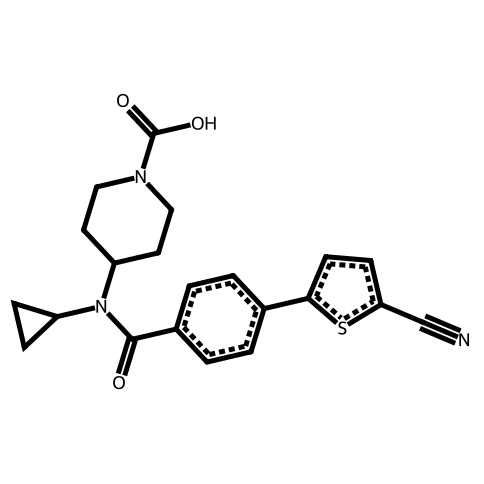 N#Cc1ccc(-c2ccc(C(=O)N(C3CC3)C3CCN(C(=O)O)CC3)cc2)s1